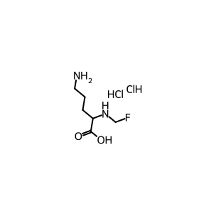 Cl.Cl.NCCCC(NCF)C(=O)O